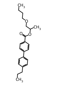 CCCCOCC(C)OC(=O)c1ccc(-c2ccc(CCC)cc2)cc1